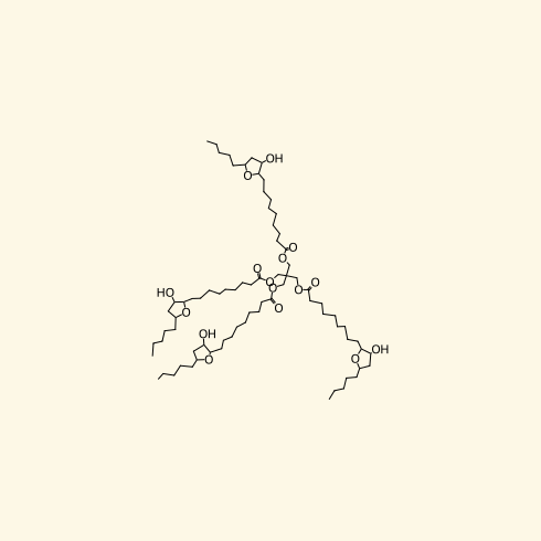 CCCCCC1CC(O)C(CCCCCCCCC(=O)OCC(COC(=O)CCCCCCCCC2OC(CCCCC)CC2O)(COC(=O)CCCCCCCCC2OC(CCCCC)CC2O)COC(=O)CCCCCCCCC2OC(CCCCC)CC2O)O1